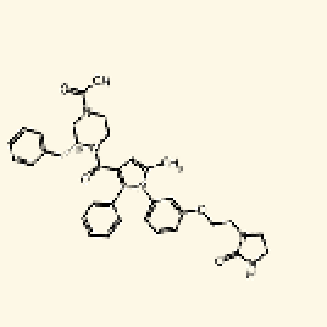 Cc1cc(C(=O)N2CCN(C(=O)O)C[C@H]2Cc2ccccc2)c(-c2ccccc2)n1-c1cccc(OCCN2CCNC2=O)c1